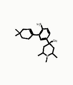 CC1CC(O)(c2ccc(N)c(C3=CCC(C)(C)CC3)c2)CC(C)N1C